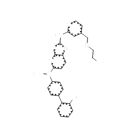 Cc1ccccc1-c1ccc(N(C)c2ccc3nc(Nc4cc(CNCCO)ccn4)sc3n2)cc1